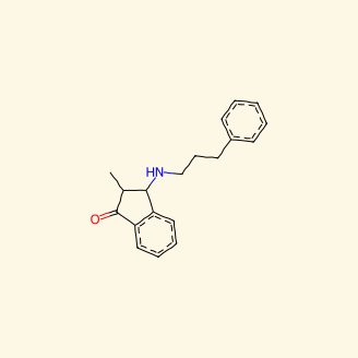 CC1C(=O)c2ccccc2C1NCCCc1ccccc1